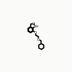 B1OCc2cccc(OCCOCC3CCCCC3)c21